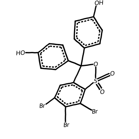 O=S1(=O)OC(c2ccc(O)cc2)(c2ccc(O)cc2)c2cc(Br)c(Br)c(Br)c21